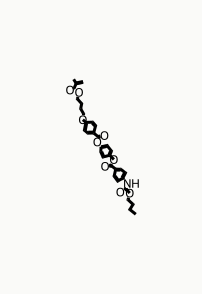 C=C(C)C(=O)OCCCCOc1ccc(C(=O)Oc2ccc(OC(=O)c3ccc(NC(=O)OCCCC)cc3)cc2)cc1